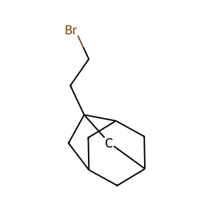 BrCCC12CC3CC(CC1C3)C2